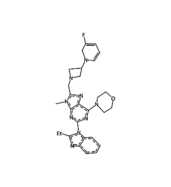 CCc1nc2ccccc2n1-c1nc(N2CCOCC2)c2nc(CN3CC(N4C=CC=C(F)C4)C3)n(C)c2n1